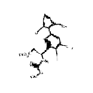 CCOC(=O)C[C@H](NC(=O)OC(C)(C)C)c1cc(-c2c(O)cccc2Cl)cc(C)c1F